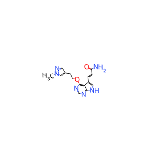 Cn1cc(CCOc2ncnc3[nH]cc(/C=C/C(N)=O)c23)cn1